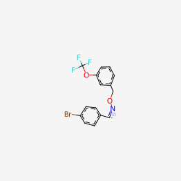 FC(F)(F)Oc1cccc(CO/N=[C]\c2ccc(Br)cc2)c1